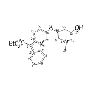 CCOC(=O)c1c2ccccc2n2cc(OC(CCO)CN(C)C)ccc12